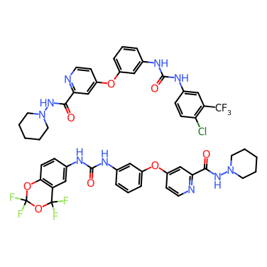 O=C(Nc1cccc(Oc2ccnc(C(=O)NN3CCCCC3)c2)c1)Nc1ccc(Cl)c(C(F)(F)F)c1.O=C(Nc1cccc(Oc2ccnc(C(=O)NN3CCCCC3)c2)c1)Nc1ccc2c(c1)C(F)(F)OC(F)(F)O2